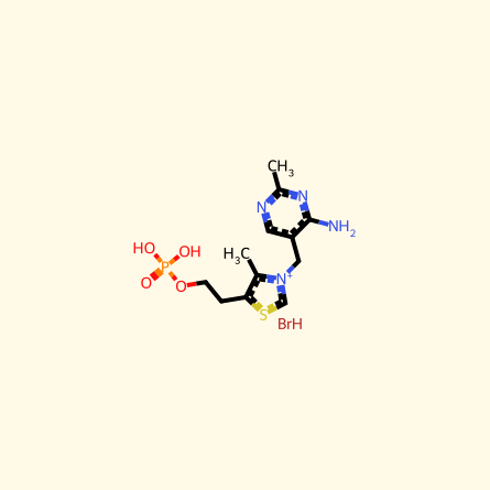 Br.Cc1ncc(C[n+]2csc(CCOP(=O)(O)O)c2C)c(N)n1